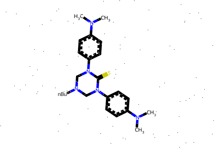 CCCCN1CN(c2ccc(N(C)C)cc2)C(=S)N(c2ccc(N(C)C)cc2)C1